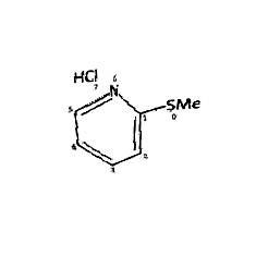 CSc1ccccn1.Cl